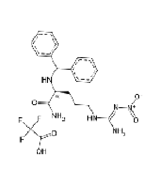 NC(=O)[C@H](CCCNC(N)=N[N+](=O)[O-])NC(c1ccccc1)c1ccccc1.O=C(O)C(F)(F)F